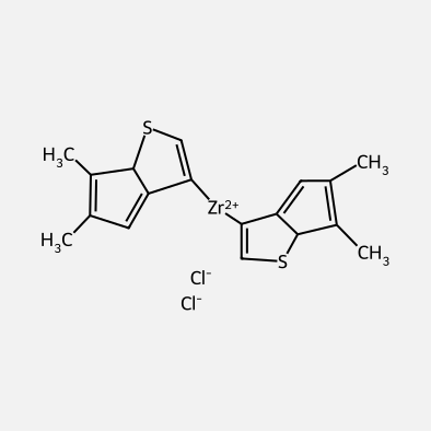 CC1=C(C)C2SC=[C]([Zr+2][C]3=CSC4C3=CC(C)=C4C)C2=C1.[Cl-].[Cl-]